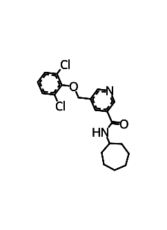 O=C(NC1CCCCCC1)c1cncc(COc2c(Cl)cccc2Cl)c1